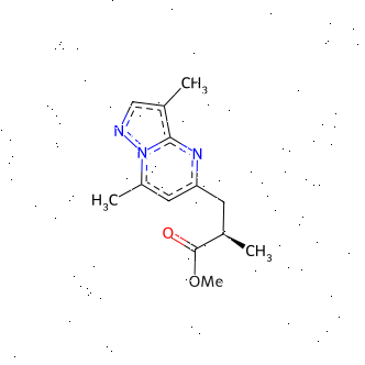 COC(=O)[C@H](C)Cc1cc(C)n2ncc(C)c2n1